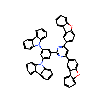 c1ccc2c(c1)oc1ccc(-c3cc(-c4ccc5oc6ccccc6c5c4)nc(-c4cc(-n5c6ccccc6c6ccccc65)cc(-n5c6ccccc6c6ccccc65)c4)n3)cc12